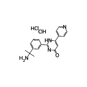 CC(C)(N)c1cccc(-c2nc(=O)cc(-c3ccncc3)[nH]2)c1.Cl.Cl